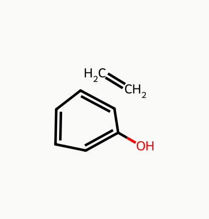 C=C.Oc1ccccc1